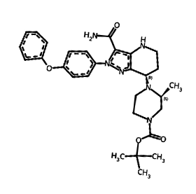 C[C@H]1CN(C(=O)OC(C)(C)C)CCN1[C@@H]1CCNc2c1nn(-c1ccc(Oc3ccccc3)cc1)c2C(N)=O